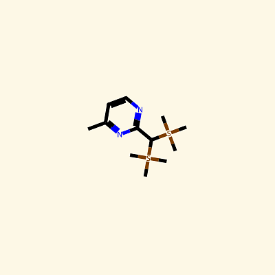 Cc1ccnc(C(S(C)(C)C)S(C)(C)C)n1